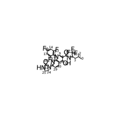 CC(C)CC(NC(=O)c1cn(-c2c(F)cc(F)cc2F)c2nc(N3CCNC3=O)ccc2c1=O)C(F)(F)F